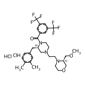 COC[C@H]1COCCN1CCN1CCN(C(=O)c2cc(C(F)(F)F)cc(C(F)(F)F)c2)[C@H](Cc2ccc(C)c(C)c2)C1.Cl.Cl